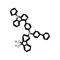 CC1(C)c2ccccc2-c2cc(N(c3ccc(-c4ccccc4)cc3)c3ccc(-c4cccc5c4c4ccccc4n5-c4ccccc4)cc3)ccc21